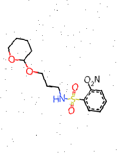 O=[N+]([O-])c1ccccc1S(=O)(=O)NCCCOC1CCCCO1